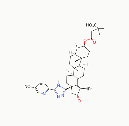 CC(C)C1=C2C3CC[C@H]4C(C)(CC[C@H]5C(C)(C)[C@@H](OC(=O)CC(C)(C)C(=O)O)CC[C@@]54C)[C@]3(C)CC[C@@]2(c2nnc(-c3ccc(C#N)cn3)n2C)CC1=O